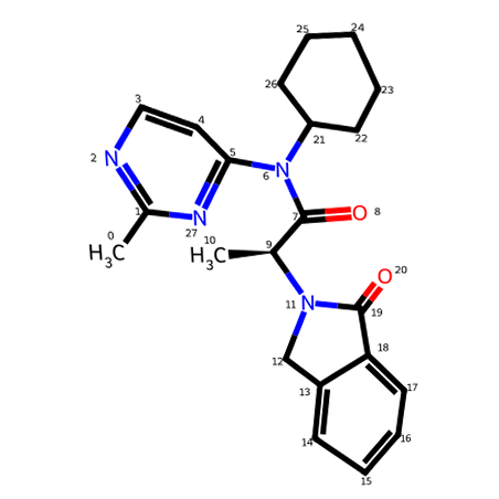 Cc1nccc(N(C(=O)[C@H](C)N2Cc3ccccc3C2=O)C2CCCCC2)n1